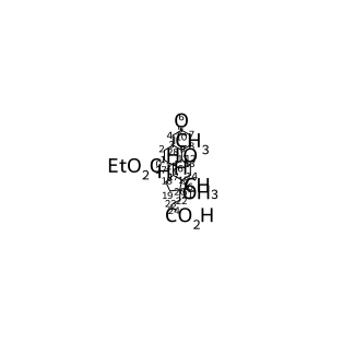 CCOC(=O)[C@@H]1CC2=CC(=O)CC[C@]2(C)[C@@]23O[C@@H]2C[C@@]2(C)[C@@H](CC[C@@]2(O)CCC(=O)O)[C@H]13